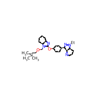 CCn1nc(-c2ccc(Oc3nc4ccccc4n3COCC[Si](C)(C)C)cc2)c2ncccc21